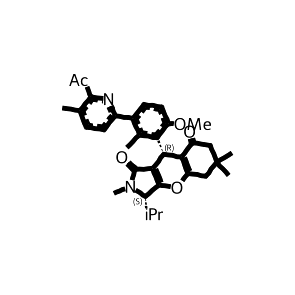 COc1ccc(-c2ccc(C)c(C(C)=O)n2)c(C)c1[C@@H]1C2=C(CC(C)(C)CC2=O)OC2=C1C(=O)N(C)[C@H]2C(C)C